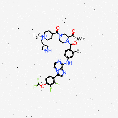 CCc1cc(Nc2nccn3c(-c4ccc(OC(F)F)c(F)c4F)cnc23)ccc1C(=O)N1CCN(C(=O)C2CC[N+](C)(CC3CNC3)CC2)CC1C(=O)OC